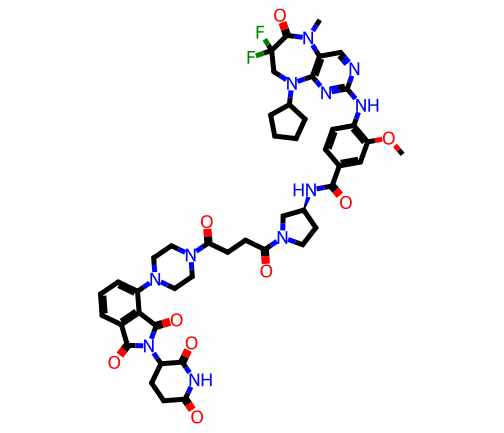 COc1cc(C(=O)N[C@H]2CCN(C(=O)CCC(=O)N3CCN(c4cccc5c4C(=O)N(C4CCC(=O)NC4=O)C5=O)CC3)C2)ccc1Nc1ncc2c(n1)N(C1CCCC1)CC(F)(F)C(=O)N2C